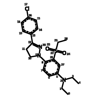 CCN(CC)c1ccc(N2CCC(c3ccc(Cl)cc3)=N2)c(S(=O)(=O)CC)c1